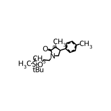 Cc1ccc(C2CN(CCO[Si](C)(C)C(C)(C)C)C(=O)[C@@H]2C)cc1